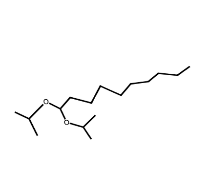 CCCCCCCCCC(OC(C)C)OC(C)C